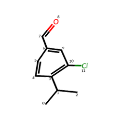 CC(C)c1ccc(C=O)cc1Cl